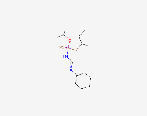 CCC(C)SP(=S)(NC=NC1CCCCC1)OC(C)C